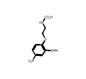 COc1cc([N+](=O)[O-])ccc1OCCNC(=O)O